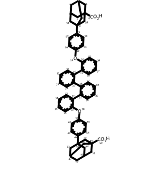 O=C(O)C12CC3CC(C1)CC(c1ccc(Oc4ccccc4-c4ccccc4-c4ccccc4-c4ccccc4Oc4ccc(C56CC7CC(CC(C(=O)O)(C7)C5)C6)cc4)cc1)(C3)C2